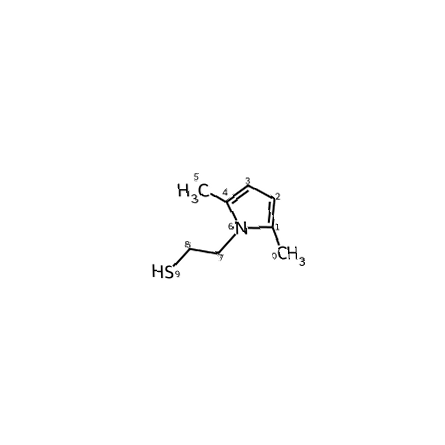 Cc1ccc(C)n1CCS